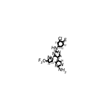 Nc1ncc(-c2cnc(Nc3ccc(F)c(Cl)c3)nc2-n2ccc(C(F)(F)F)n2)cn1